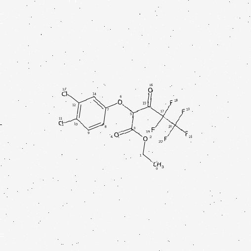 CCOC(=O)C(Oc1ccc(Cl)c(Cl)c1)C(=O)C(F)(F)C(F)(F)F